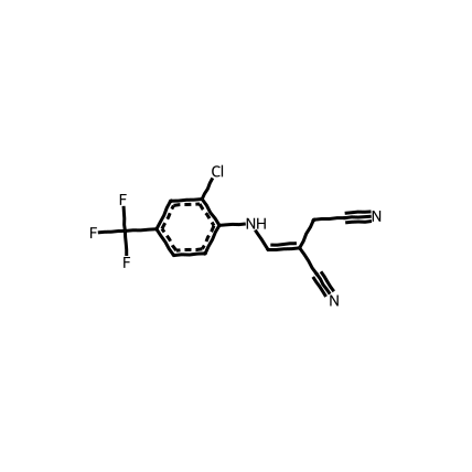 N#CC/C(C#N)=C\Nc1ccc(C(F)(F)F)cc1Cl